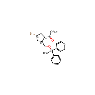 COC(=O)[C@H]1C[C@@H](Br)C[C@@H]1CO[Si](c1ccccc1)(c1ccccc1)C(C)(C)C